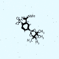 CNC1=NS(=O)(=O)c2ccc(B3OC(C)(C)C(C)(C)O3)cc21